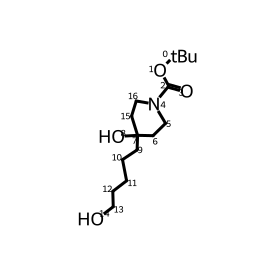 CC(C)(C)OC(=O)N1CCC(O)(CCCCCO)CC1